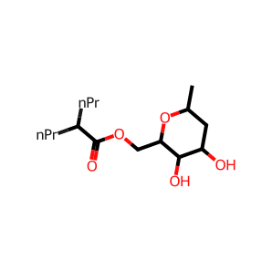 CCCC(CCC)C(=O)OCC1OC(C)CC(O)C1O